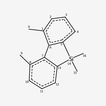 Cc1cccc2c1-c1c(C)cccc1[Si]2(C)C